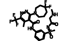 CNCC(=O)N=[S@](C)(=O)c1cccc(NC(=O)c2c(N3CCCC(F)(F)CC3)nnc(C(F)(F)F)c2C)c1